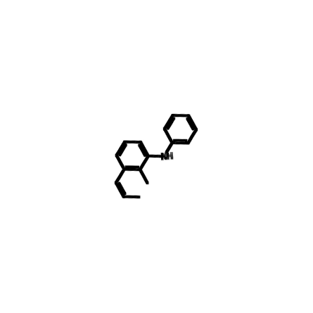 C/C=C\c1cccc(Nc2ccccc2)c1C